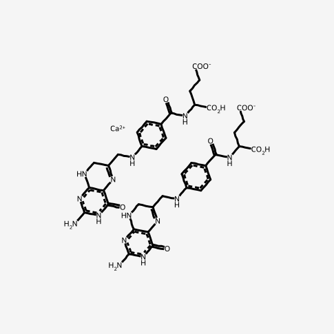 Nc1nc2c(c(=O)[nH]1)N=C(CNc1ccc(C(=O)NC(CCC(=O)[O-])C(=O)O)cc1)CN2.Nc1nc2c(c(=O)[nH]1)N=C(CNc1ccc(C(=O)NC(CCC(=O)[O-])C(=O)O)cc1)CN2.[Ca+2]